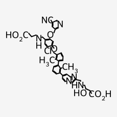 Cc1c(COc2cc(OCc3cncc(C#N)c3)c(CNCCCC(=O)O)cc2Cl)cccc1-c1cccc(-c2ccn3cc(CNCC(O)CC(=O)O)nc3c2)c1C